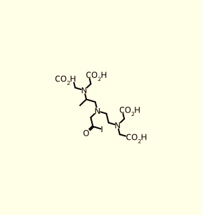 CC(CN(CCN(CC(=O)O)CC(=O)O)CC(=O)I)N(CC(=O)O)CC(=O)O